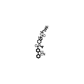 CC(C)(CN=[N+]=[N-])OC(=O)n1cc2c(n1)CCC(N(C(=O)c1ccc(-c3ccccc3C#N)c(Cl)c1)C1CC1)C2